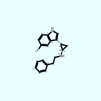 Fc1ccc2[nH]cc([C@@H]3C[C@H]3NCCc3ccccc3)c2c1